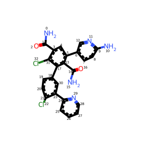 NC(=O)c1cc(-c2ccc(N)nc2)c(C(N)=O)c(-c2ccc(Cl)c(-c3ccccn3)c2)c1Cl